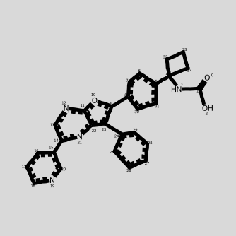 O=C(O)NC1(c2ccc(-c3oc4ncc(-c5cccnc5)nc4c3-c3ccccc3)cc2)CCC1